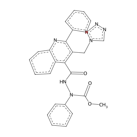 COC(=O)N(NC(=O)c1c(Cn2cnnn2)c(-c2ccccc2)nc2ccccc12)c1ccccc1